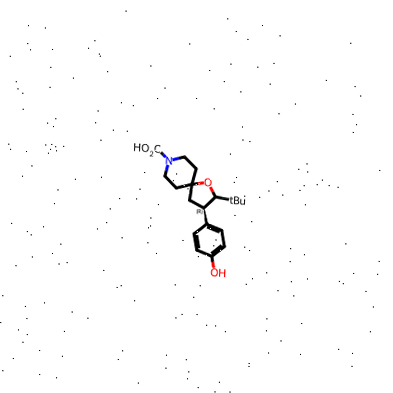 CC(C)(C)C1OC2(CCN(C(=O)O)CC2)C[C@@H]1c1ccc(O)cc1